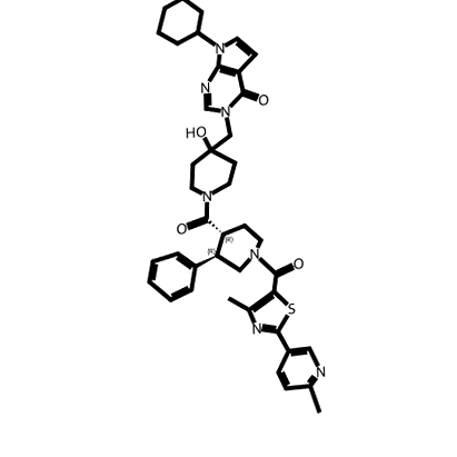 Cc1ccc(-c2nc(C)c(C(=O)N3CC[C@@H](C(=O)N4CCC(O)(Cn5cnc6c(ccn6C6CCCCC6)c5=O)CC4)[C@H](c4ccccc4)C3)s2)cn1